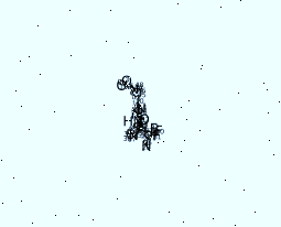 COC(=O)CCN1CCC(CCc2cnc(C(=O)Nc3nc(-c4cc(C#N)cc(C(F)(F)F)c4)c(CN4CCC[C@H]4C)s3)cn2)CC[C@H]1C